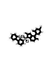 CC1=Cc2c(ccc(C)c2-c2ccc(C)cc2C)[CH]1[Zr]([Cl])([Cl])[c]1cccc2c1[SiH2]c1ccccc1-2